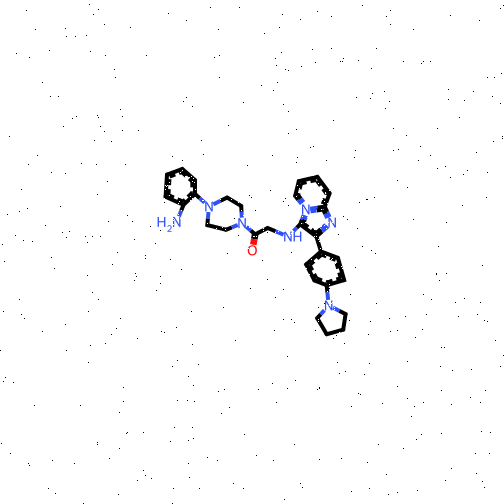 Nc1ccccc1N1CCN(C(=O)CNc2c(-c3ccc(N4CCCC4)cc3)nc3ccccn23)CC1